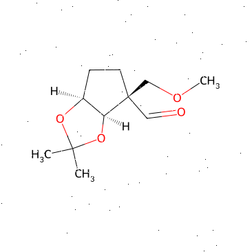 COC[C@]1(C=O)CC[C@@H]2OC(C)(C)O[C@@H]21